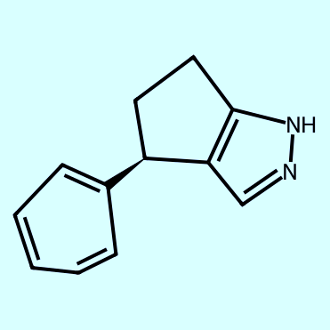 c1ccc([C@H]2CCc3[nH]ncc32)cc1